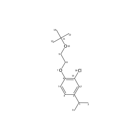 CC(C)c1ccc(OCCOC(C)(C)C)c(Cl)c1